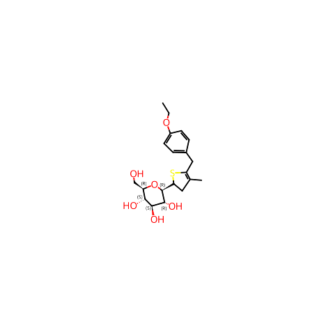 CCOc1ccc(CC2=C(C)CC([C@@H]3O[C@H](CO)[C@@H](O)[C@H](O)[C@H]3O)S2)cc1